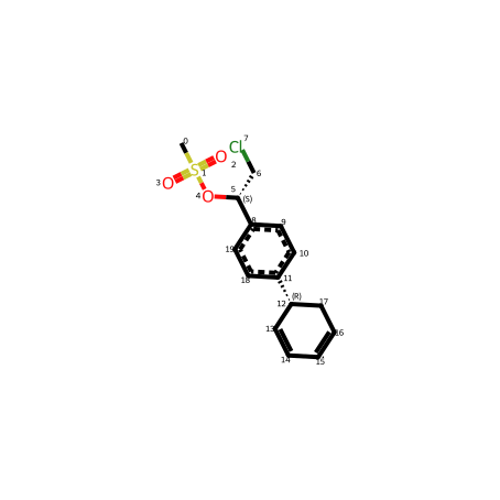 CS(=O)(=O)O[C@H](CCl)c1ccc([C@H]2C=C[C]=CC2)cc1